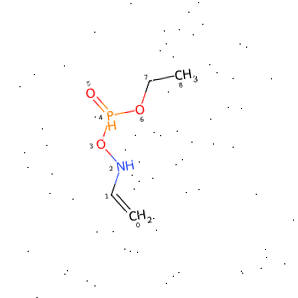 C=CNO[PH](=O)OCC